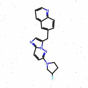 FC1CCN(c2ccc3ncc(Cc4ccc5ncccc5c4)n3n2)C1